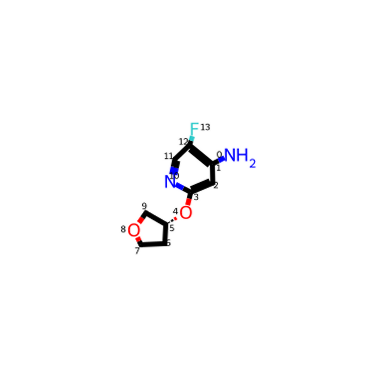 Nc1cc(O[C@@H]2CCOC2)ncc1F